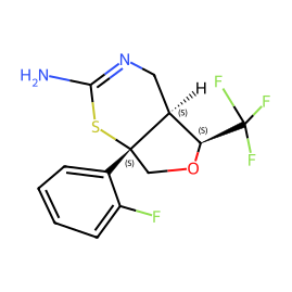 NC1=NC[C@H]2[C@@H](C(F)(F)F)OC[C@]2(c2ccccc2F)S1